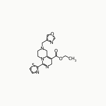 CCOC(=O)C1=C2CN(Cc3cocn3)CCN2C(c2nccs2)=NC1